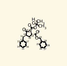 CC(C)(C)OC(=O)N1C(=O)[C@H](Cc2ccccc2)C[C@H]1C(=O)OCc1ccccc1